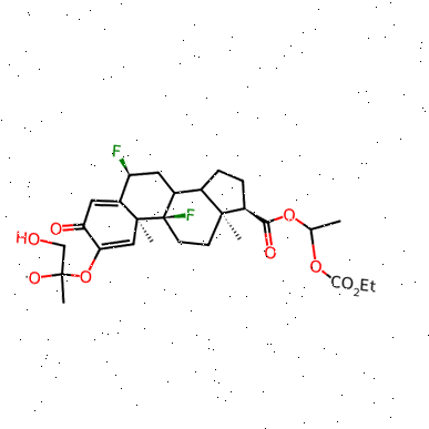 CCOC(=O)OC(C)OC(=O)[C@@H]1CCC2C3C[C@H](F)C4=CC(=O)C(OC(C)([O])CO)=C[C@]4(C)[C@@]3(F)CC[C@@]21C